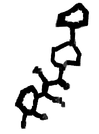 CC(=O)/C(C(=O)N1CCN(c2ccccc2)CC1)=C(/C)c1cccc(Cl)c1Cl